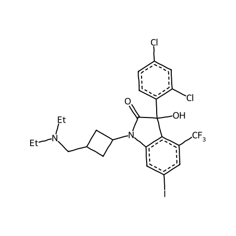 CCN(CC)CC1CC(N2C(=O)C(O)(c3ccc(Cl)cc3Cl)c3c2cc(I)cc3C(F)(F)F)C1